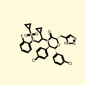 O=C1[C@H](Cc2cnn[nH]2)O[C@H](c2cccc(Cl)c2)[C@@H](c2ccc(Cl)cc2)N1C(CN(c1ccccc1F)S(=O)(=O)C1CC1)C1CC1